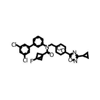 O=C(N(CC12CCC(c3nc(C4CC4)no3)(CC1)CC2)c1cccc(-c2cc(Cl)cc(Cl)c2)c1)C12CC(F)(C1)C2